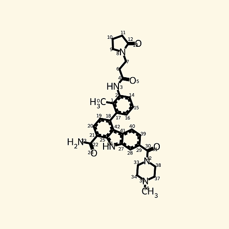 Cc1c(NC(=O)CCN2CCCC2=O)cccc1-c1ccc(C(N)=O)c2[nH]c3cc(C(=O)N4CCN(C)CC4)ccc3c12